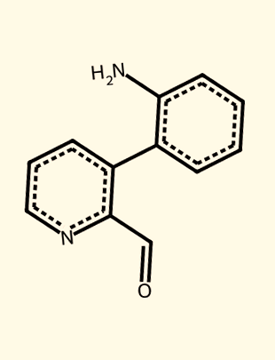 Nc1ccccc1-c1cccnc1C=O